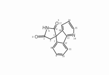 O=C1CC2(C(=O)N1)c1ccccc1-c1ncccc12